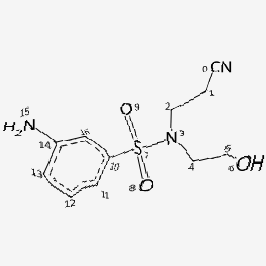 N#CCCN(CCO)S(=O)(=O)c1cccc(N)c1